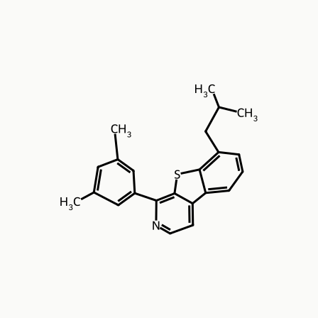 Cc1cc(C)cc(-c2nccc3c2sc2c(CC(C)C)cccc23)c1